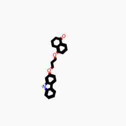 O=C1CCCc2c(OCCCOc3ccc4c(c3)[N]c3ccccc3-4)cccc21